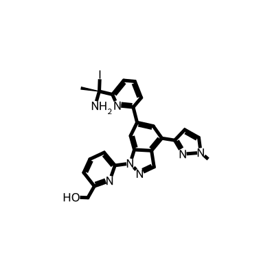 Cn1ccc(-c2cc(-c3cccc([C@](C)(N)I)n3)cc3c2cnn3-c2cccc(CO)n2)n1